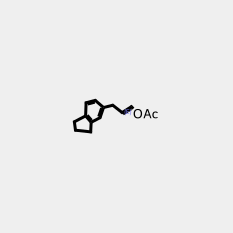 CC(=O)O/C=C/Cc1ccc2c(c1)CCC2